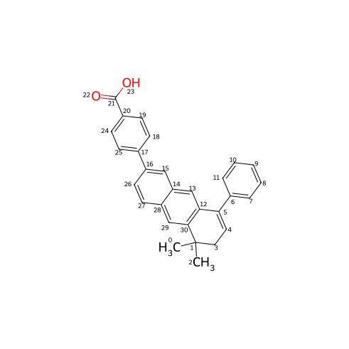 CC1(C)CC=C(c2ccccc2)c2cc3cc(-c4ccc(C(=O)O)cc4)ccc3cc21